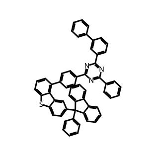 c1ccc(-c2cccc(-c3nc(-c4ccccc4)nc(-c4ccc(-c5cccc6sc7ccc(C8(c9ccccc9)c9ccccc9-c9ccccc98)cc7c56)cc4)n3)c2)cc1